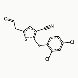 N#Cc1cc(CC=O)sc1Sc1ccc(Cl)cc1Cl